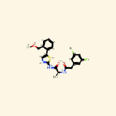 CC[C@H](NC(=O)Cc1cc(F)cc(F)c1)C(=O)Nc1ncc(-c2ccccc2COC(C)C)s1